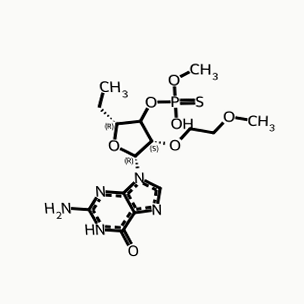 CC[C@H]1O[C@@H](n2cnc3c(=O)[nH]c(N)nc32)[C@@H](OCCOC)C1OP(O)(=S)OC